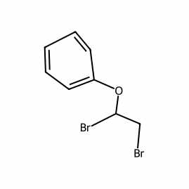 BrCC(Br)Oc1ccccc1